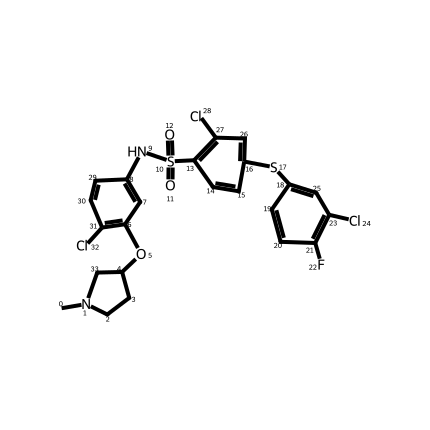 CN1CCC(Oc2cc(NS(=O)(=O)c3ccc(Sc4ccc(F)c(Cl)c4)cc3Cl)ccc2Cl)C1